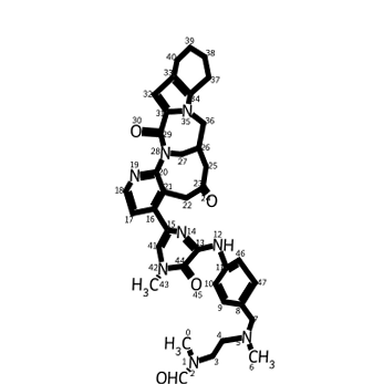 CN(C=O)CCN(C)Cc1ccc(Nc2nc(-c3ccnc4c3CC(=O)CC3CN4C(=O)c4cc5c(n4C3)CCCC5)cn(C)c2=O)cc1